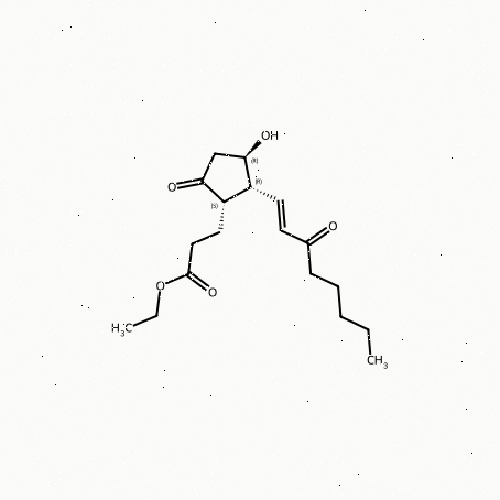 CCCCCC(=O)C=C[C@H]1[C@H](O)CC(=O)[C@H]1CCC(=O)OCC